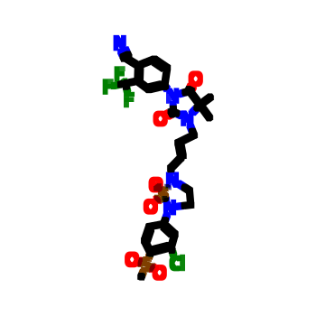 CC1(C)C(=O)N(c2ccc(C#N)c(C(F)(F)F)c2)C(=O)N1CC=CCN1CCN(c2ccc(S(C)(=O)=O)c(Cl)c2)S1(=O)=O